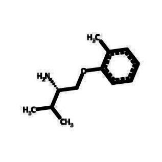 Cc1ccccc1OC[C@@H](N)C(C)C